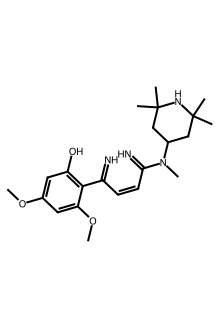 COc1cc(O)c(C(=N)/C=C\C(=N)N(C)C2CC(C)(C)NC(C)(C)C2)c(OC)c1